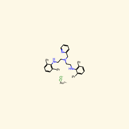 CC(C)c1cccc(C(C)C)c1NCCN(CCNc1c(C(C)C)cccc1C(C)C)Cc1ccccn1.[Au+2].[Cl-].[Cl-]